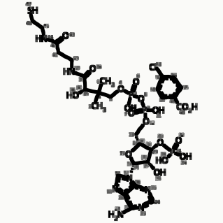 CC(C)(COP(=O)(O)OP(=O)(O)OC[C@H]1O[C@@H](n2cnc3c(N)ncnc32)[C@H](O)[C@@H]1OP(=O)(O)O)[C@@H](O)C(=O)NCCC(=O)NCCS.O=C(O)c1ccc(Cl)cc1